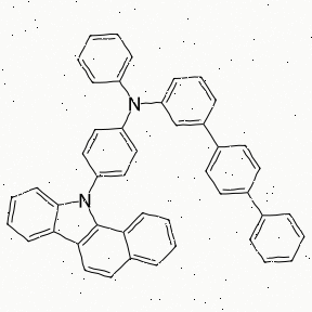 c1ccc(-c2ccc(-c3cccc(N(c4ccccc4)c4ccc(-n5c6ccccc6c6ccc7ccccc7c65)cc4)c3)cc2)cc1